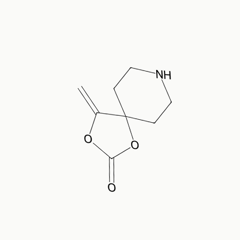 C=C1OC(=O)OC12CCNCC2